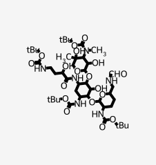 CN(C(=O)OC(C)(C)C)C1C(O)C(OC2C(NC(=O)C(O)CCNC(=O)OC(C)(C)C)CC(NC(=O)OC(C)(C)C)C(OC3OC(CNC=O)CCC3NC(=O)OC(C)(C)C)C2O)OCC1(C)O